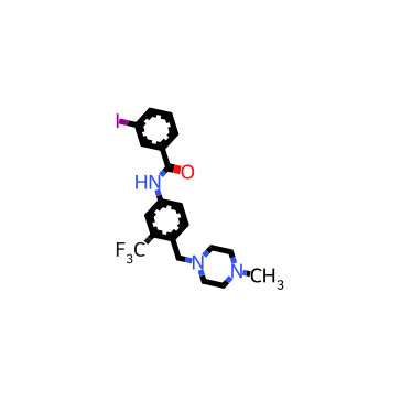 CN1CCN(Cc2ccc(NC(=O)c3cccc(I)c3)cc2C(F)(F)F)CC1